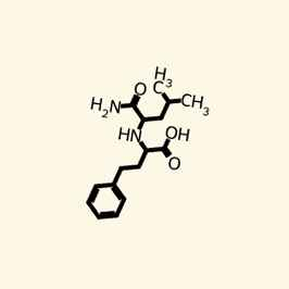 CC(C)CC(NC(CCc1ccccc1)C(=O)O)C(N)=O